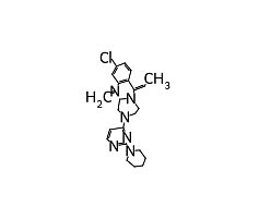 C=Nc1cc(Cl)ccc1/C(=C\C)N1CCN(c2ccnc(N3CCCCC3)n2)CC1